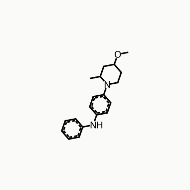 COC1CCN(c2ccc(Nc3ccccc3)cc2)C(C)C1